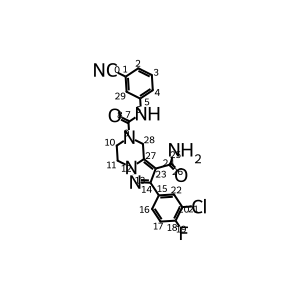 N#Cc1cccc(NC(=O)N2CCn3nc(-c4ccc(F)c(Cl)c4)c(C(N)=O)c3C2)c1